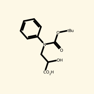 CC(C)(C)OC(=O)N(CC(O)C(=O)O)c1ccccc1